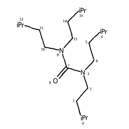 CC(C)CCN(CCC(C)C)C(=O)N(CCC(C)C)CCC(C)C